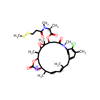 CSSCCC(=O)N(C)[C@@H](C)C(=O)OC1CC(=O)N(C)c2cc(cc(C)c2Cl)C/C(C)=C/C=C/C(C)C2(O)CC(OC(=O)N2)C(C)C2OC12C